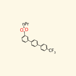 CCCC1OC(c2cccc(-c3ccc(-c4ccc(C(F)(F)F)cc4)cc3)c2)O1